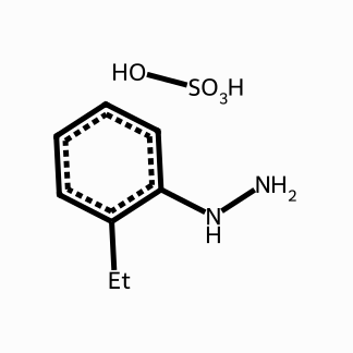 CCc1ccccc1NN.O=S(=O)(O)O